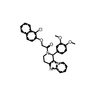 COc1ccc(C2c3c(nc4ccccn34)CCN2C(=O)COc2ccc3ccccc3c2Cl)cc1OC